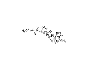 C=CCOC(=O)N1CCc2ccc(C(=O)Nc3cccc(-c4nncn4C(C)C)n3)cc2C1